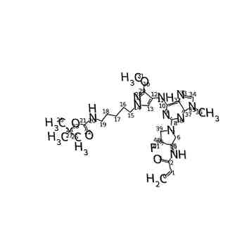 C=CC(=O)N[C@@H]1CN(c2nc(Nc3cn(CCCCCNC(=O)OC(C)(C)C)nc3OC)c3ncn(C)c3n2)C[C@H]1F